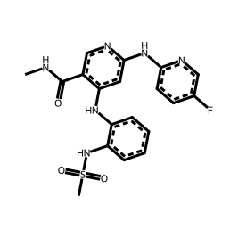 CNC(=O)c1cnc(Nc2ccc(F)cn2)cc1Nc1ccccc1NS(C)(=O)=O